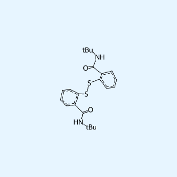 CC(C)(C)NC(=O)c1ccccc1SSc1ccccc1C(=O)NC(C)(C)C